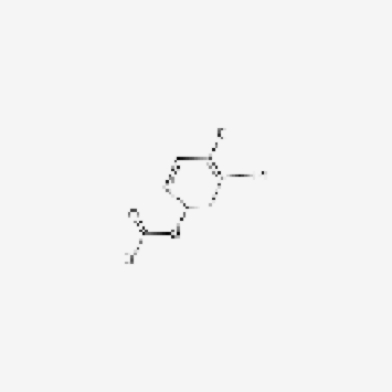 CCC(=O)Oc1ccc(Cl)c(C(C)C)c1